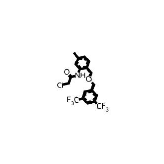 Cc1ccc(COCc2cc(C(F)(F)F)cc(C(F)(F)F)c2)c(NC(=O)CCl)c1